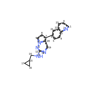 c1cnc2ccc(-c3ccn4nc(NCC5CC5)ncc34)cc2c1